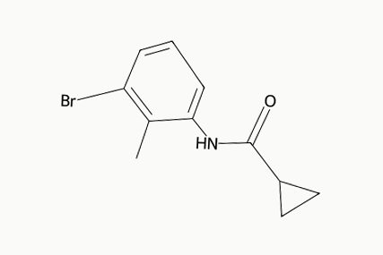 Cc1c(Br)cccc1NC(=O)C1CC1